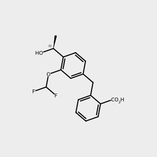 C[C@H](O)c1ccc(Cc2ccccc2C(=O)O)cc1OC(F)F